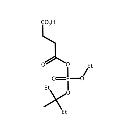 CCOP(=O)(OC(=O)CCC(=O)O)OC(C)(CC)CC